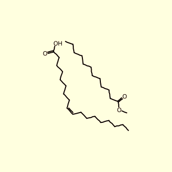 CCCCCCCC/C=C\CCCCCCCC(=O)O.CCCCCCCCCCCC(=O)OC